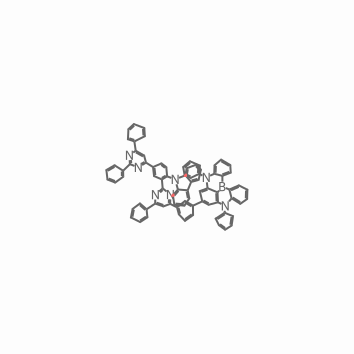 c1ccc(-c2cc(-c3ccc(-n4c5ccccc5c5ccccc54)c(-c4nc(-c5ccccc5)cc(-c5cccc(-c6cc7c8c(c6)N(c6ccccc6)c6ccccc6B8c6ccccc6N7c6ccccc6)c5)n4)c3)nc(-c3ccccc3)n2)cc1